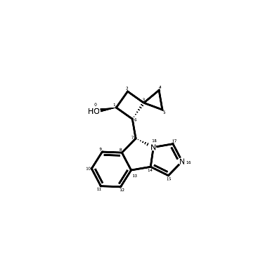 O[C@H]1CC2(CC2)[C@@H]1[C@H]1c2ccccc2-c2cncn21